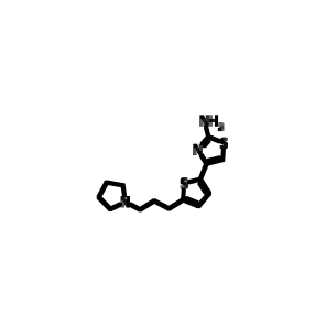 Nc1nc(-c2ccc(CCCN3CCCC3)s2)cs1